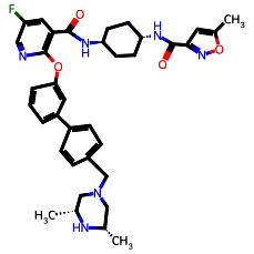 Cc1cc(C(=O)N[C@H]2CC[C@H](NC(=O)c3cc(F)cnc3Oc3cccc(-c4ccc(CN5C[C@@H](C)N[C@@H](C)C5)cc4)c3)CC2)no1